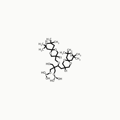 CCC1(COC(CC2(CC)COC3(CC(C)(C)NC(C)(C)C3)OC2)C(CO)(COP(O)O)COP(O)O)COC2(CC(C)(C)NC(C)(C)C2)OC1